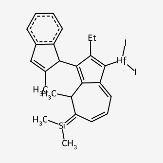 CCC1=[C]([Hf]([I])[I])C2=CC=CC(=[Si](C)C)C(C)C2=C1C1C(C)=Cc2ccccc21